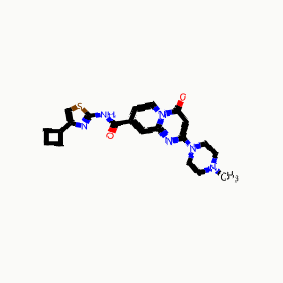 CN1CCN(c2cc(=O)n3ccc(C(=O)Nc4nc(C5CCC5)cs4)cc3n2)CC1